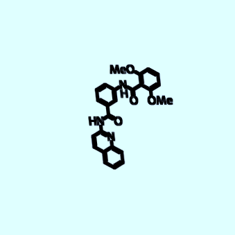 COc1cccc(OC)c1C(=O)Nc1cccc(C(=O)Nc2ccc3ccccc3n2)c1